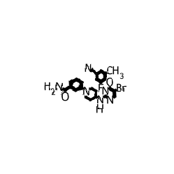 Cc1cc(C#N)cc(F)c1Oc1nc(NC2CCN(c3cccc(C(N)=O)c3)CC2)ncc1Br